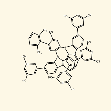 N#Cc1cc(C#N)cc(-c2ccc3c4ccc(-c5cc(C#N)cc(C#N)c5)cc4n(-c4cc(C#N)c(-c5c(C(F)(F)F)cccc5C(F)(F)F)cc4-n4c5cc(-c6cc(C#N)cc(C#N)c6)ccc5c5ccc(-c6cc(C#N)cc(C#N)c6)cc54)c3c2)c1